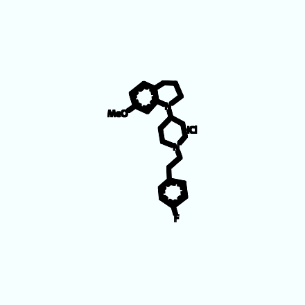 COc1ccc2c(c1)N(C1CCN(CCc3ccc(F)cc3)CC1)CCC2.Cl